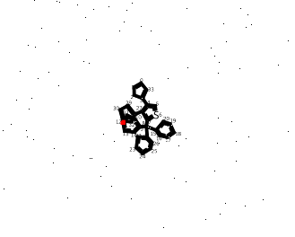 C1=CCC(c2csc(C(c3ccccc3)(c3ccccc3)c3ccccc3)c2C2=CC=CC2)=C1